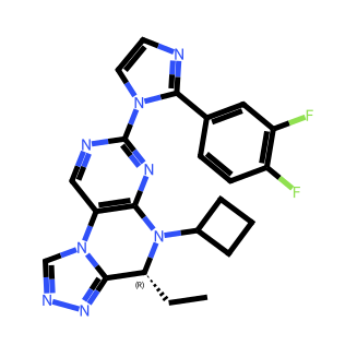 CC[C@@H]1c2nncn2-c2cnc(-n3ccnc3-c3ccc(F)c(F)c3)nc2N1C1CCC1